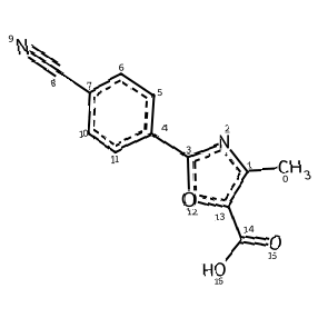 Cc1nc(-c2ccc(C#N)cc2)oc1C(=O)O